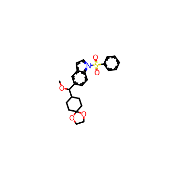 COC(c1ccc2c(ccn2S(=O)(=O)c2ccccc2)c1)C1CCC2(CC1)OCCO2